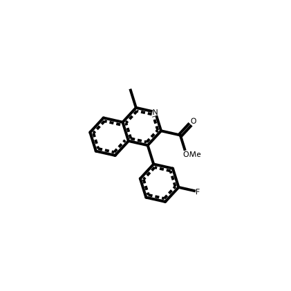 COC(=O)c1nc(C)c2ccccc2c1-c1cccc(F)c1